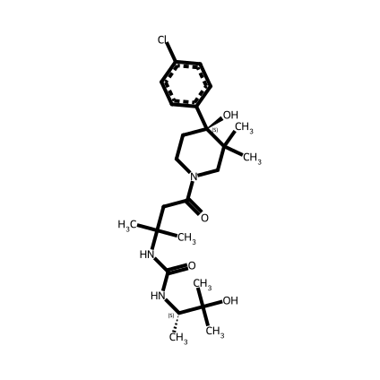 C[C@H](NC(=O)NC(C)(C)CC(=O)N1CC[C@](O)(c2ccc(Cl)cc2)C(C)(C)C1)C(C)(C)O